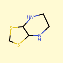 [C]1SC2NCCNC2S1